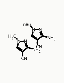 CCCCn1cc(C#N)c(N)n1.Cn1cc(C#N)c(N)n1